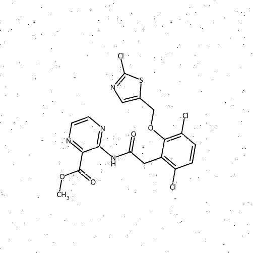 COC(=O)c1nccnc1NC(=O)Cc1c(Cl)ccc(Cl)c1OCc1cnc(Cl)s1